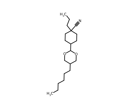 CCCCCCC1COC(C2CCC(C#N)(CCC)CC2)OC1